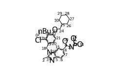 CCCCC.Cc1nc2ccc(C(=O)N=S(=O)=O)cc2n1Cc1ccc(OCC2CCCCC2)cc1Cl